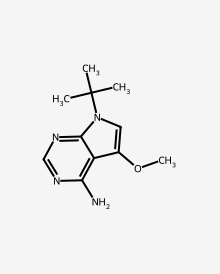 COc1cn(C(C)(C)C)c2ncnc(N)c12